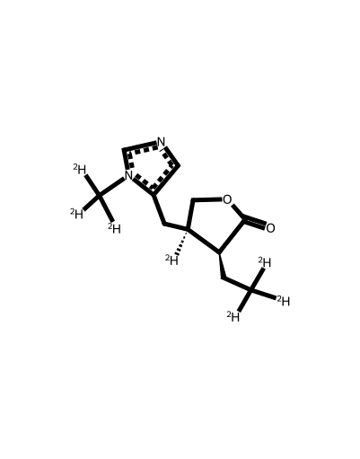 [2H]C([2H])([2H])C[C@@H]1C(=O)OC[C@]1([2H])Cc1cncn1C([2H])([2H])[2H]